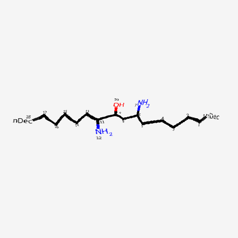 CCCCCCCCCCCCCCCC(N)CC(O)C(N)CCCCCCCCCCCCCCC